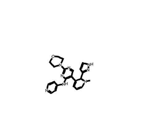 CN1C=CC=C(c2cnc(N3CCOCC3)nc2Nc2ccncc2)C1c1cc[nH]n1